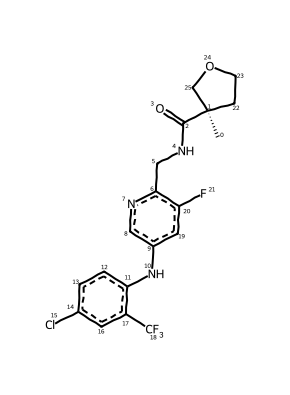 C[C@@]1(C(=O)NCc2ncc(Nc3ccc(Cl)cc3C(F)(F)F)cc2F)CCOC1